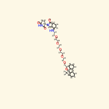 CC(C)(C)[Si](OCCOCCOCCOCCOCCOCCNc1cccc2c1CN(C1CCC(=O)NC1=O)C2=O)(c1ccccc1)c1ccccc1